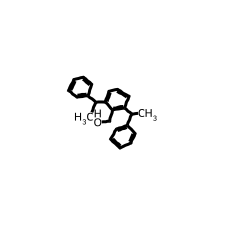 CC(c1ccccc1)c1cccc(C(C)c2ccccc2)c1CO